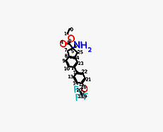 CCOC(=O)C1(N)Cc2ccc(-c3ccc(OC(F)(F)F)cc3)cc2C1